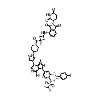 C[C@H](Oc1cc(-c2nn(C)c3c(-c4cnn(C5CCN(C(=O)C6(F)CC(Nc7cccc8c7C(=O)N(C7CCC(=O)NC7=O)C8=O)C6)CC5)c4)cnc(N)c23)ccc1NS(=O)(=O)C(F)F)c1ccc(F)cc1